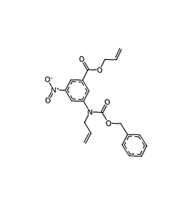 C=CCOC(=O)c1cc(N(CC=C)C(=O)OCc2ccccc2)cc([N+](=O)[O-])c1